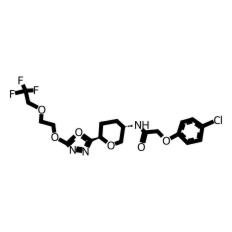 O=C(COc1ccc(Cl)cc1)N[C@H]1CC[C@H](c2nnc(OCCOCC(F)(F)F)o2)OC1